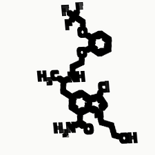 CC(Cc1cc(C(N)=O)c2c(c1)c(Cl)cn2CCCO)NCCOc1ccccc1OCC(F)(F)F